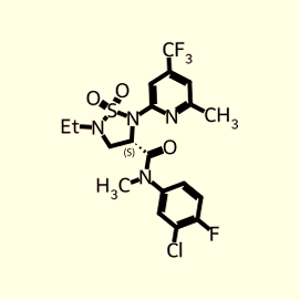 CCN1C[C@@H](C(=O)N(C)c2ccc(F)c(Cl)c2)N(c2cc(C(F)(F)F)cc(C)n2)S1(=O)=O